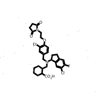 CCc1cc(CN(CC2CCCCC2C(=O)O)C2CCc3cc(F)c(Cl)cc32)ccc1OCCN1C(=O)CCC1=O